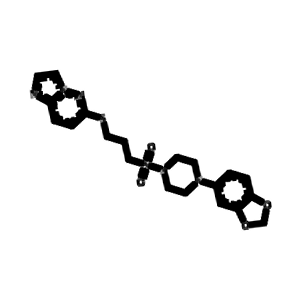 O=S(=O)(CCCSc1ccc2nccn2n1)N1CCN(c2ccc3c(c2)OCO3)CC1